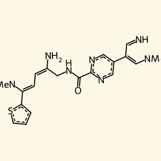 CN/C=C(\C=N)c1cnc(C(=O)NC/C(N)=C\C=C(/NC)c2cccs2)nc1